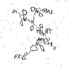 CCC(=O)OCc1ccc(NC(=O)[C@H](C)NC(=O)[C@@H](NC(=O)CCC(=O)N(CCN2C(=O)CC(C(C)C)C2=O)CCN2C(=O)CC(C(C)(C)C)C2=O)C(C)C)cc1